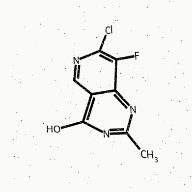 Cc1nc(O)c2cnc(Cl)c(F)c2n1